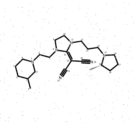 CC1CCCN(CCN2CCN(CCCN3CCC[C@@H]3C)C2=C(C#N)C#N)C1